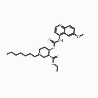 CCCCCCCN1CC[C@@H](OC(=O)Nc2ccnc3ccc(OC)cc23)[C@@H](C(=O)OCC)C1